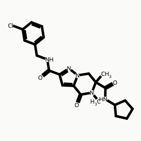 CN1C(=O)c2cc(C(=O)NCc3cccc(Cl)c3)nn2CC1(C)C(=O)NC1CCCC1